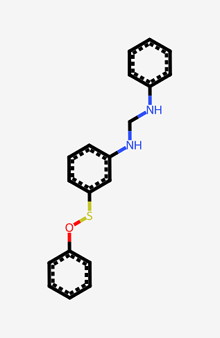 c1ccc(NCNc2cccc(SOc3ccccc3)c2)cc1